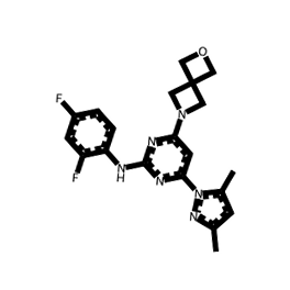 Cc1cc(C)n(-c2cc(N3CC4(COC4)C3)nc(Nc3ccc(F)cc3F)n2)n1